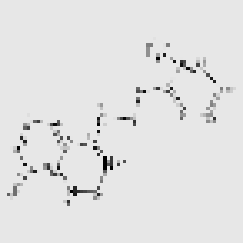 Fc1cccc2c(OCCc3ccccc3C(F)(F)F)ncnc12